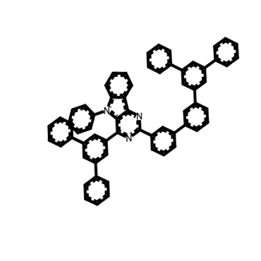 c1ccc(-c2cc(-c3ccccc3)cc(-c3cccc(-c4cccc(-c5nc(-c6cc(-c7ccccc7)cc(-c7ccccc7)c6)c6c(n5)c5ccccc5n6-c5ccccc5)c4)c3)c2)cc1